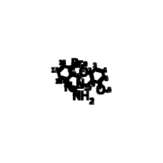 COc1cccc(OC)c1CN1Cc2c(Br)cccc2N=C1N